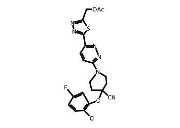 CC(=O)OCc1nnc(-c2ccc(N3CCC(C#N)(Oc4cc(F)ccc4Cl)CC3)nn2)s1